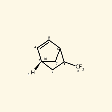 FC(F)(F)C1C[C@@H]2C=CC1C2